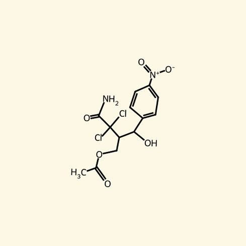 CC(=O)OCC(C(O)c1ccc([N+](=O)[O-])cc1)C(Cl)(Cl)C(N)=O